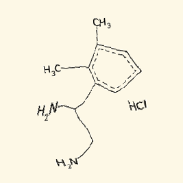 Cc1cccc(C(N)CN)c1C.Cl